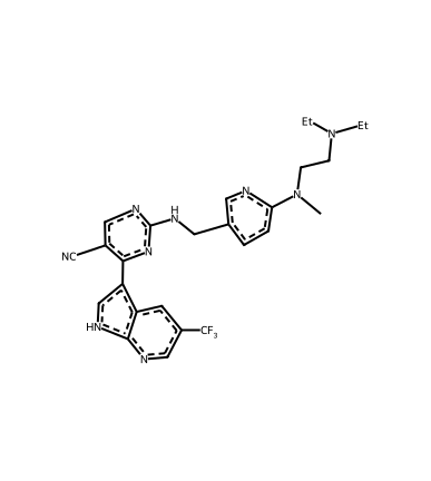 CCN(CC)CCN(C)c1ccc(CNc2ncc(C#N)c(-c3c[nH]c4ncc(C(F)(F)F)cc34)n2)cn1